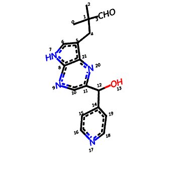 CC(C)(C=O)Cc1c[nH]c2ncc(C(O)c3ccncc3)nc12